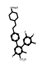 CCCCCCCC1CCC(CCc2ccc(-c3cc(F)c(C(=O)O)c(F)c3-c3cc(F)c(F)c(F)c3)cc2)CC1